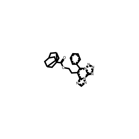 O=C(OCCc1c(-c2ccccc2)n2nnnc2n2ncnc12)C12CC3CC(CC(C3)C1)C2